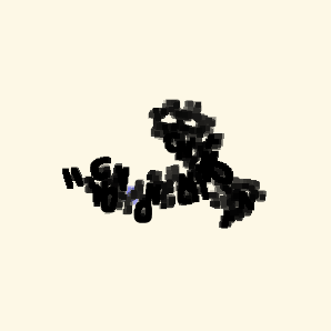 Cc1noc(/C=C/C(=O)N2CC(CN(C)c3nc(OC[C@@]45CCCN4C[C@H](F)C5)nc4c(F)c(-c5cccc6cccc(Cl)c56)ncc34)C2)n1